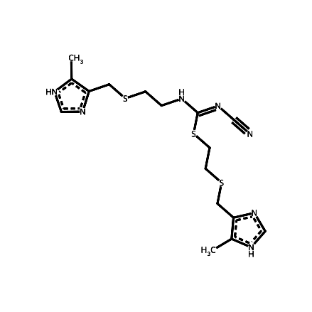 Cc1[nH]cnc1CSCCN/C(=N/C#N)SCCSCc1nc[nH]c1C